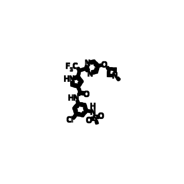 CN1CC(Oc2cnc(C(c3cc(C(=O)Nc4cc(Cl)cc(NS(C)(=O)=O)c4)c[nH]3)C(F)(F)F)nc2)C1